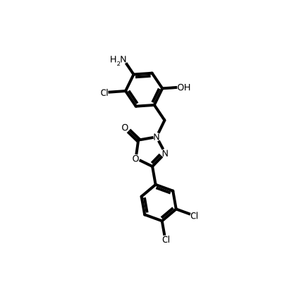 Nc1cc(O)c(Cn2nc(-c3ccc(Cl)c(Cl)c3)oc2=O)cc1Cl